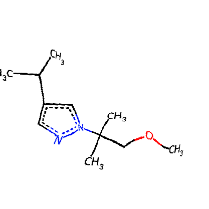 COCC(C)(C)n1cc(C(C)C)cn1